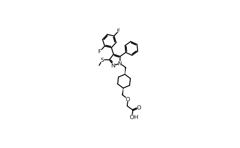 CSc1nn(C[C@H]2CC[C@@H](COCC(=O)O)CC2)c(-c2ccccc2)c1-c1cc(F)ccc1F